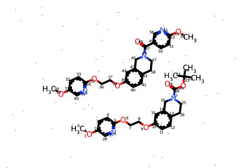 COc1ccc(OCCOc2ccc3c(c2)CN(C(=O)OC(C)(C)C)CC3)nc1.COc1ccc(OCCOc2ccc3c(c2)CN(C(=O)c2ccc(OC)nc2)CC3)nc1